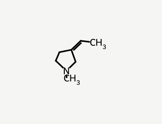 C/C=C1/CCN(C)C1